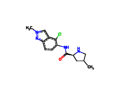 CC1CN[C@H](C(=O)Nc2ccc3nn(C)cc3c2Cl)C1